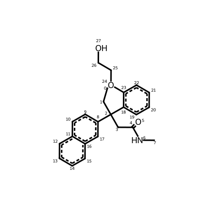 CCC(CC(=O)NC)(c1ccc2ccccc2c1)c1ccccc1OCCO